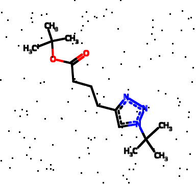 CC(C)(C)OC(=O)CCCc1cn(C(C)(C)C)nn1